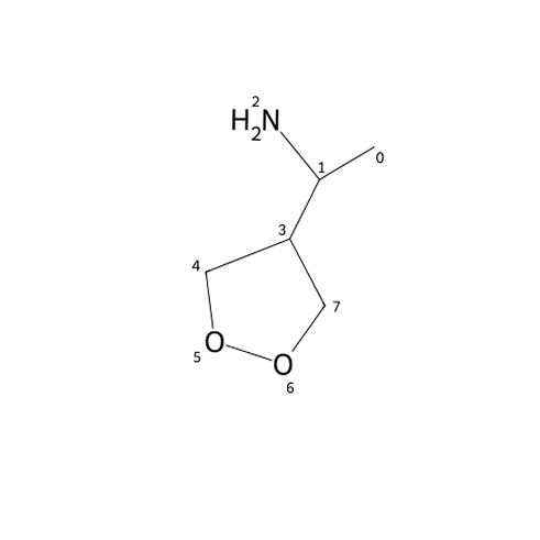 CC(N)C1COOC1